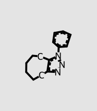 c1ccc(-n2nnc3c2CCCCCC3)cc1